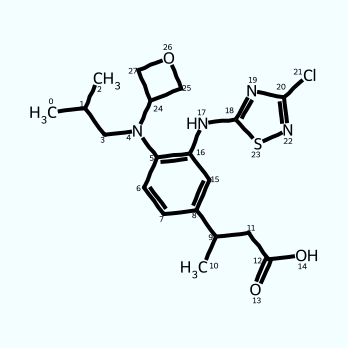 CC(C)CN(c1ccc(C(C)CC(=O)O)cc1Nc1nc(Cl)ns1)C1COC1